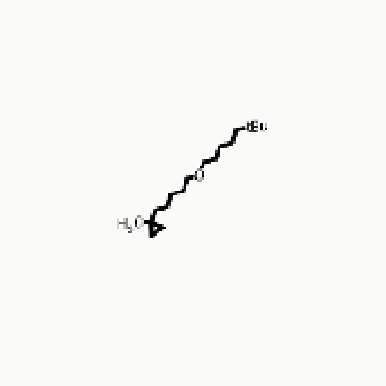 CC(C)(C)CCCCCOCCCCCC1(C)CC1